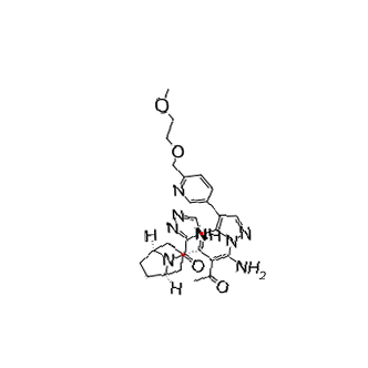 COCCOCc1ccc(-c2cnn3c(N)c(C(C)=O)c([C@@H]4C[C@H]5CC[C@@H](C4)N5C(=O)c4nnc[nH]4)nc23)cn1